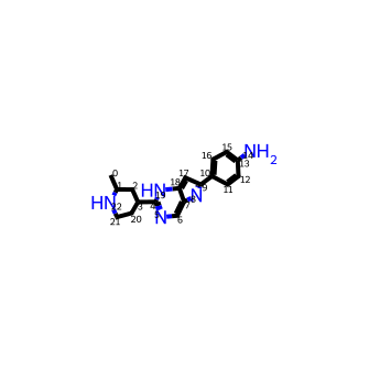 CC1CC(c2ncc3nc(-c4ccc(N)cc4)cc-3[nH]2)CCN1